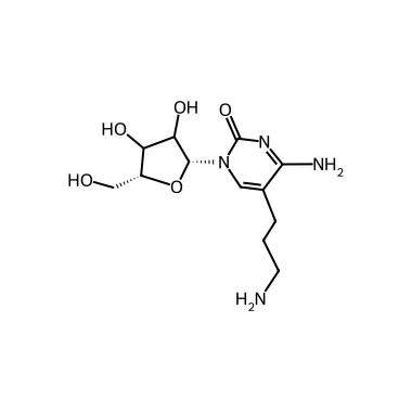 NCCCc1cn([C@@H]2O[C@H](CO)C(O)C2O)c(=O)nc1N